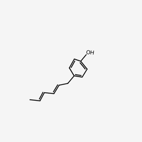 CC=CC=CCc1ccc(O)cc1